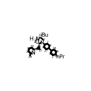 CCCc1ccc(-c2ccc(N(C[C@@H](N)[C@@H](C)CC)C(=O)[C@H]3C[C@@H]3c3cccc(C)n3)cc2)cc1